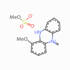 C=[N+]1c2ccccc2Nc2c(OC)cccc21.COS(=O)(=O)[O-]